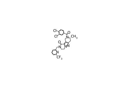 C[C@@H]1Cc2nn3c(c2CN1C(=O)c1ccc(Cl)c(Cl)c1)C(=O)N(Cc1cccc(C(F)(F)F)n1)CC3